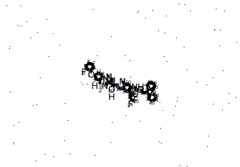 Cc1cc(Oc2ccccc2F)ccc1-n1ncc(C(O)/C=C/c2cc(OCC(F)F)c(NC(=O)OCC3c4ccccc4-c4ccccc43)cc2N)c1N